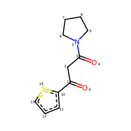 O=C(CC(=O)N1CCCC1)c1cccs1